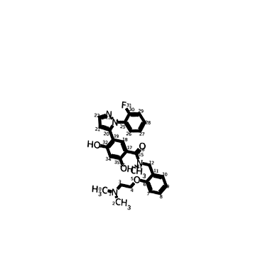 CN(C)CCOc1ccccc1CN(C)C(=O)c1cc(-c2ccnn2-c2ccccc2F)c(O)cc1O